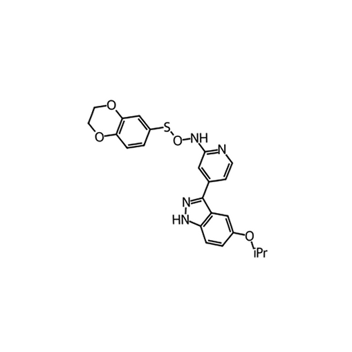 CC(C)Oc1ccc2[nH]nc(-c3ccnc(NOSc4ccc5c(c4)OCCO5)c3)c2c1